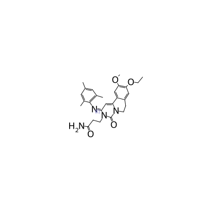 CCOc1cc2c(cc1OC)-c1c/c(=N\c3c(C)cc(C)cc3C)n(CCC(N)=O)c(=O)n1CC2